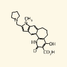 Cn1c(CN2CCCC2)cc2cc3c(cc21)CCCc1c-3[nH]c(=O)c(C(=O)O)c1O